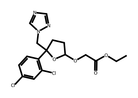 CCOC(=O)COC1CCC(Cn2cncn2)(c2ccc(Cl)cc2Cl)O1